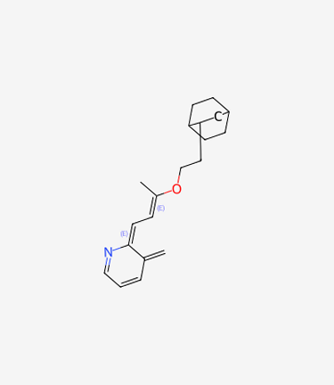 C=c1cccn/c1=C/C=C(\C)OCCC1CC2CCC1CC2